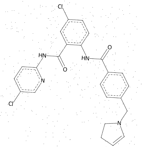 O=C(Nc1ccc(Cl)cc1C(=O)Nc1ccc(Cl)cn1)c1ccc(CN2C=CCC2)cc1